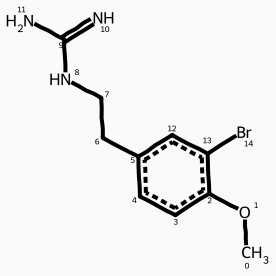 COc1ccc(CCNC(=N)N)cc1Br